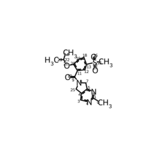 Cc1ncc2c(n1)CN(C(=O)c1cc(S(C)(=O)=O)ccc1OC(C)C)C2